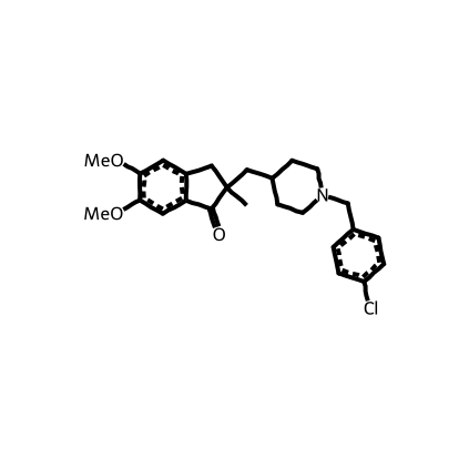 COc1cc2c(cc1OC)C(=O)C(C)(CC1CCN(Cc3ccc(Cl)cc3)CC1)C2